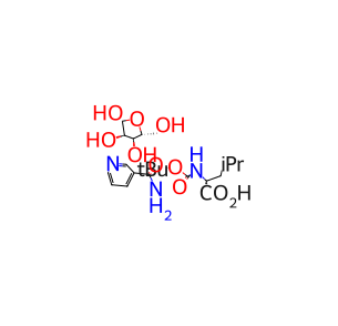 CC(C)C[C@H](NC(=O)OC(C)(C)C)C(=O)O.NC(=O)c1cccnc1.OC[C@H]1OC(O)[C@H](O)[C@@H]1O